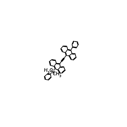 C[Si](C)(c1ccccc1)c1c2ccccc2c(C#Cc2c3ccccc3c(-c3ccccc3)c3ccccc23)c2ccccc12